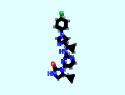 O=C1NC[C@H](C2CC2)N1c1ccnc(NC2(c3cn(C4=CCC(Cl)C=C4)cn3)CC2)n1